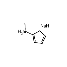 C[SiH2]C1=CC=CC1.[NaH]